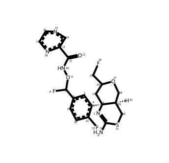 NC1=N[C@@]2(c3cc(C(F)ONC(=O)c4cnccn4)ccc3F)CC(CF)OC[C@H]2CS1